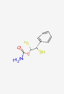 NC(=O)OC(S)C(S)c1ccccc1